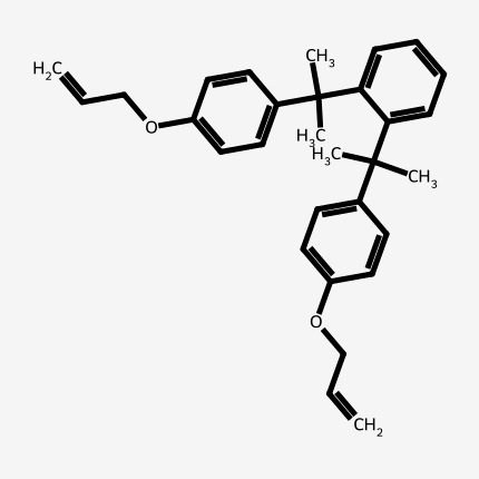 C=CCOc1ccc(C(C)(C)c2ccccc2C(C)(C)c2ccc(OCC=C)cc2)cc1